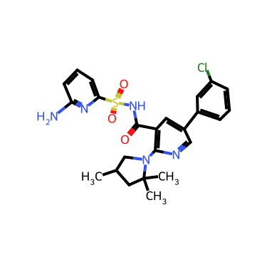 CC1CN(c2ncc(-c3cccc(Cl)c3)cc2C(=O)NS(=O)(=O)c2cccc(N)n2)C(C)(C)C1